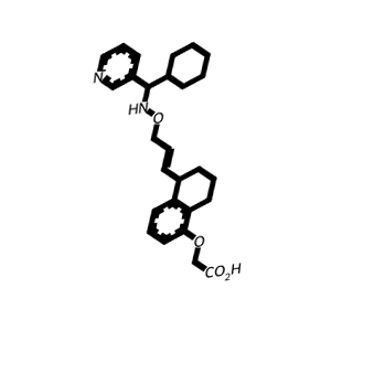 O=C(O)COc1cccc2c1CCCC2C=CCONC(c1cccnc1)C1CCCCC1